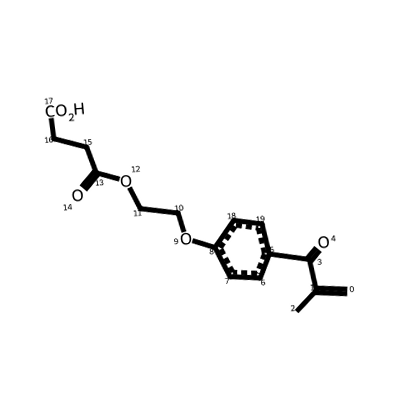 C=C(C)C(=O)c1ccc(OCCOC(=O)CCC(=O)O)cc1